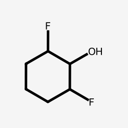 OC1C(F)CCCC1F